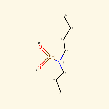 CCCCN(CCC)[SH](=O)=O